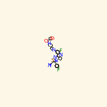 CN(c1nc(-c2ccc(F)cc2)c(C#N)s1)c1c2c(nc3c(F)cc(N4CCC5(CCN(C(=O)[C@@H]6CCOC6)CC5)C4)cc13)CCC2